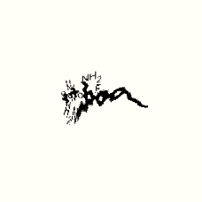 C=C(C)C(=O)OCC(CN)(CN)COc1c(CCCN)cc(-c2ccc(C3CCC(CCCCC)CC3)cc2F)cc1CCCN